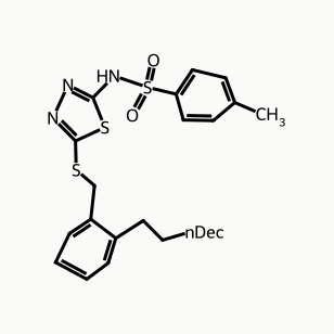 CCCCCCCCCCCCc1ccccc1CSc1nnc(NS(=O)(=O)c2ccc(C)cc2)s1